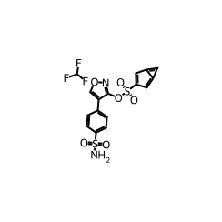 FC(F)F.NS(=O)(=O)c1ccc(-c2conc2OS(=O)(=O)c2cc3cc-3c2)cc1